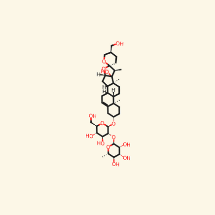 C[C@@H]1O[C@@H](O[C@H]2[C@H](O[C@H]3CC[C@@]4(C)C(=CC[C@@H]5[C@@H]4CC[C@@]4(C)[C@H]5C[C@@H]5O[C@]6(CC[C@H](CO)CO6)[C@@H](C)[C@@]54O)C3)O[C@H](CO)[C@@H](O)[C@@H]2O)[C@H](O)[C@H](O)[C@H]1O